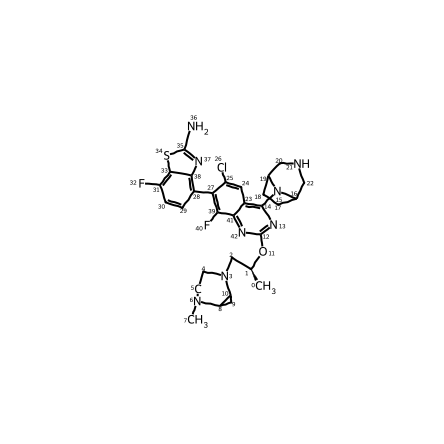 C[C@@H](CN1CCN(C)C2CC21)Oc1nc(N2C3CCC2CNC3)c2cc(Cl)c(-c3ccc(F)c4sc(N)nc34)c(F)c2n1